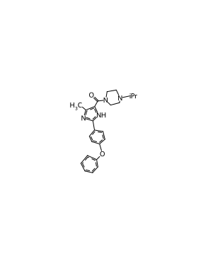 Cc1nc(-c2ccc(Oc3ccccc3)cc2)[nH]c1C(=O)N1CCN(C(C)C)CC1